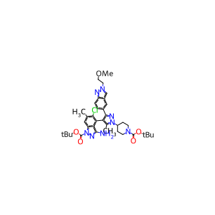 COCCn1cc2cc(-c3nn(C4CCN(C(=O)OC(C)(C)C)CC4)c(C)c3-c3c(Cl)c(C)cc4c3c(N)nn4C(=O)OC(C)(C)C)ccc2n1